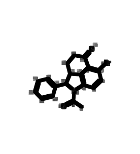 CC(=O)N1c2ccc(Br)c3c2C(CCC3=O)C1c1ccccc1